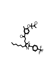 CCCCCCc1nc(-c2ccc(C(F)(F)F)cc2)sc1CCC(=O)c1ccc(OC(C)(C)C(C)=O)c(C)c1